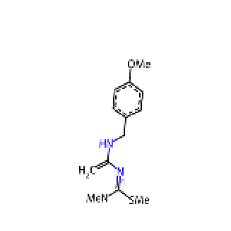 C=C(/N=C(\NC)SC)NCc1ccc(OC)cc1